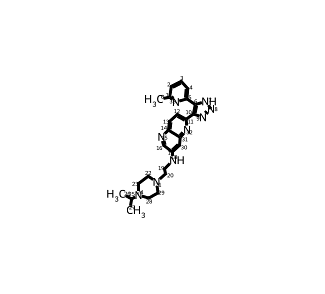 Cc1cccc(-c2[nH]nnc2-c2ccc3ncc(NCCN4CCN(C(C)C)CC4)cc3n2)n1